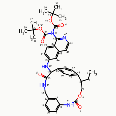 CCC1COC(=O)Nc2cccc(c2)CNC(=O)C(Nc2ccc3c(N(C(=O)OC(C)(C)C)C(=O)OC(C)(C)C)nccc3c2)c2ccc1cc2